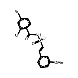 COc1cccc(C=CS(=O)(=O)NC(=O)c2ccc(Br)cc2Cl)c1